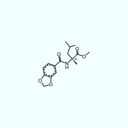 COC(=O)[C@@](C)(CC(C)C)NC(=O)c1ccc2c(c1)OCO2